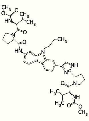 CCCCn1c2cc(NC(=O)[C@@H]3CCCN3C(=O)[C@@H](NC(=O)OC)C(C)C)ccc2c2ccc(-c3c[nH]c([C@@H]4CCCN4C(=O)[C@@H](NC(=O)OC)C(C)C)n3)cc21